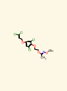 CC(=NOC(C)(C)C)OCCOc1c(Cl)cc(OCC=C(Cl)Cl)cc1Cl